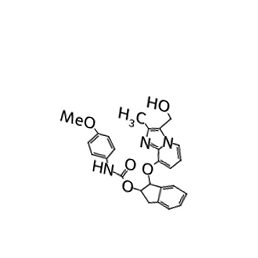 COc1ccc(NC(=O)OC2Cc3ccccc3C2Oc2cccn3c(CO)c(C)nc23)cc1